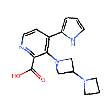 O=C(O)c1nccc(-c2ccc[nH]2)c1N1CC(N2CCC2)C1